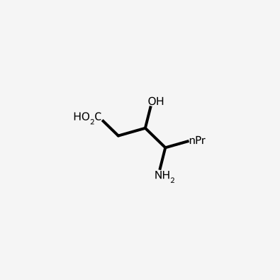 CCCC(N)C(O)CC(=O)O